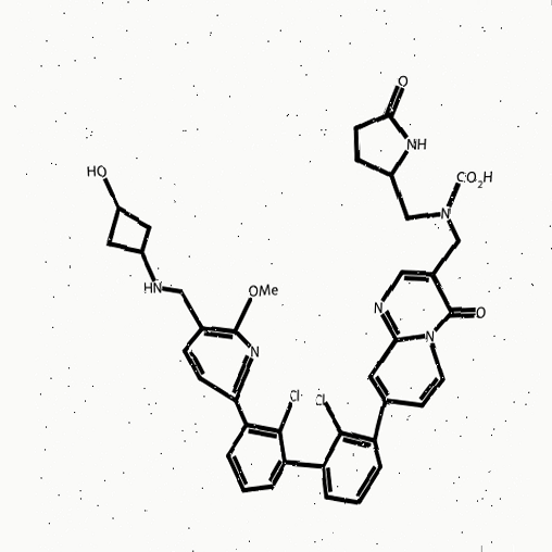 COc1nc(-c2cccc(-c3cccc(-c4ccn5c(=O)c(CN(CC6CCC(=O)N6)C(=O)O)cnc5c4)c3Cl)c2Cl)ccc1CNC1CC(O)C1